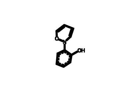 Oc1ccccc1N1C=CC=CO1